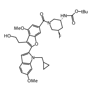 COc1ccc2cc(-c3oc4cc(C(=O)N5C[C@H](F)C[C@@H](NC(=O)OC(C)(C)C)C5)cc(OC)c4c3CCO)n(CC3CC3)c2c1